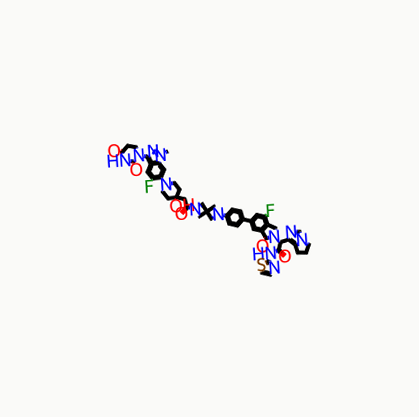 Cn1nc(N2CCC(=O)NC2=O)c2cc(F)c(N3CCC(O)(CC(=O)N4CC5(C4)CN(c4ccc(-c6cc(F)c7c(c6)C(=O)N(C(C(=O)Nc6nccs6)c6ncn8c6CCC8)C7)cc4)C5)CC3)cc21